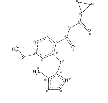 CSc1ccc(C(=O)CC(=O)C2CC2)c(Cn2nccc2C)c1